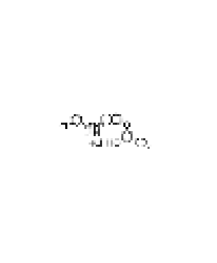 Cl.O=C(O)c1cc(O)cc(Oc2ccc3c(c2)C[C@@H](NC[C@H](O)c2cccc(Cl)c2)CC3)c1